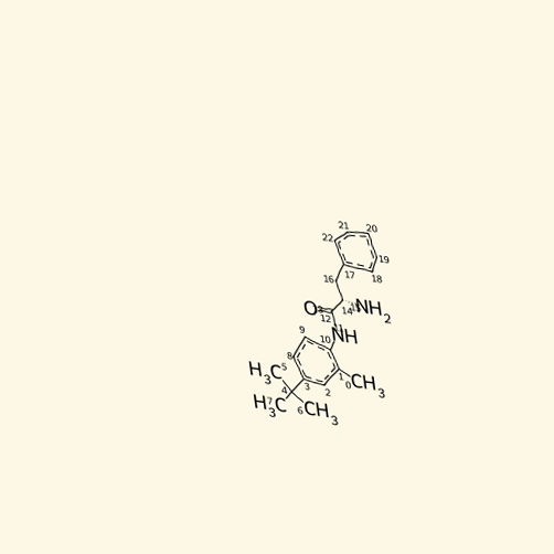 Cc1cc(C(C)(C)C)ccc1NC(=O)[C@@H](N)Cc1ccccc1